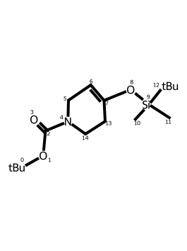 CC(C)(C)OC(=O)N1CC=C(O[Si](C)(C)C(C)(C)C)CC1